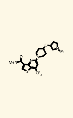 CNC(=O)c1csc2c(C(F)(F)F)cc(N3CCC(OC4CCN(C(C)C)C4)CC3)nc12